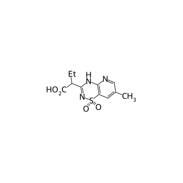 CCC(C(=O)O)C1=NS(=O)(=O)c2cc(C)cnc2N1